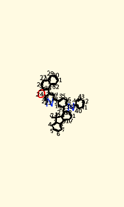 CC1(C)c2ccccc2-c2ccc3c(c21)c1cc(-c2cc4c(cn2)oc2ccc5ccccc5c24)ccc1n3-c1ccccc1